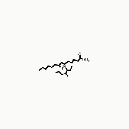 CCCC(C)C(N)CC.CCCCCCCCCCCCCC(N)=O